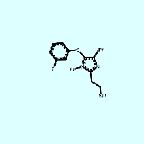 CCn1c(CCN)nc(C(C)C)c1Sc1cccc(F)c1